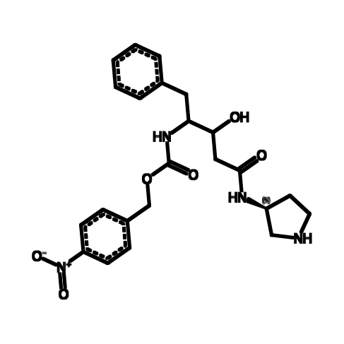 O=C(CC(O)C(Cc1ccccc1)NC(=O)OCc1ccc([N+](=O)[O-])cc1)N[C@H]1CCNC1